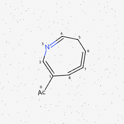 CC(=O)/C1=C/N=C\CC=C=C1